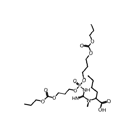 CCCCC(C(=O)O)N(C)C(=N)NP(=O)(OCCCOC(=O)OCCC)OCCCOC(=O)OCCC